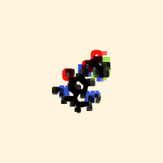 Cn1cc2cc[n+](C)c3c2c1C(=O)C(N)=C3.O=C([O-])C(F)(F)F